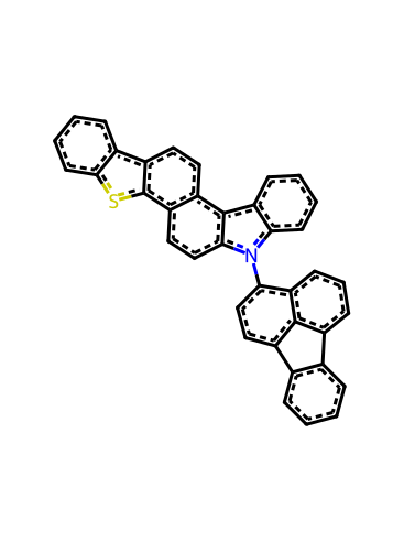 c1ccc2c(c1)-c1cccc3c(-n4c5ccccc5c5c6ccc7c8ccccc8sc7c6ccc54)ccc-2c13